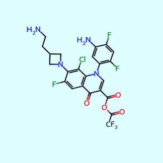 NCCC1CN(c2c(F)cc3c(=O)c(C(=O)OC(=O)C(F)(F)F)cn(-c4cc(N)c(F)cc4F)c3c2Cl)C1